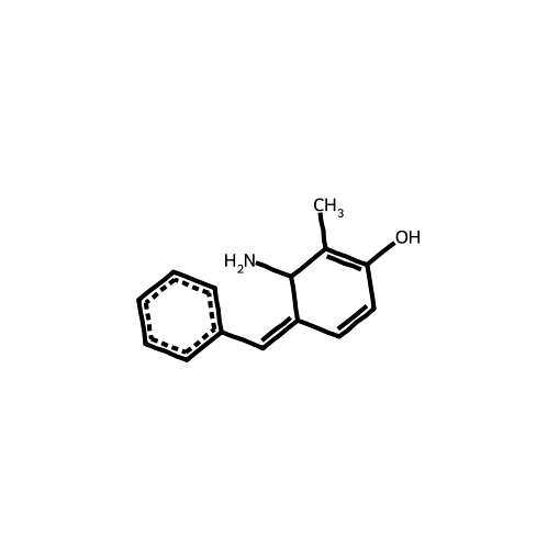 CC1=C(O)C=CC(=Cc2ccccc2)C1N